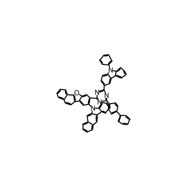 c1ccc(-c2ccc(-c3nc(-c4ccc5c(c4)c4ccccc4n5-c4ccccc4)nc(-c4cc5oc6c7ccccc7ccc6c5cc4-n4c5ccccc5c5cc6ccccc6cc54)n3)cc2)cc1